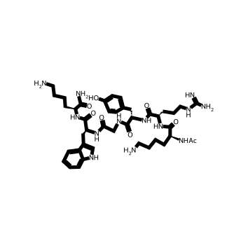 CC(=O)N[C@@H](CCCCN)C(=O)N[C@@H](CCCNC(=N)N)C(=O)N[C@@H](Cc1ccc(O)cc1)C(=O)NCC(=O)N[C@@H](Cc1c[nH]c2ccccc12)C(=O)N[C@@H](CCCCN)C(N)=O